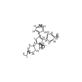 CCN1CCC(C2=CC(c3ccncc3)=C(c3ccc(F)cc3)[NH+]2[O-])CC1